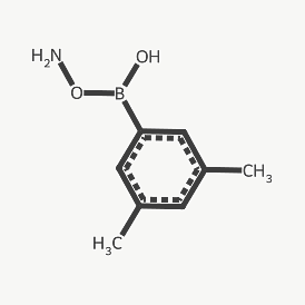 Cc1cc(C)cc(B(O)ON)c1